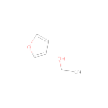 N#CCO.c1ccoc1